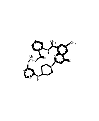 COc1cc(NC2CCN(c3cc(=O)c4cc(C)cc(C(C)Nc5ccccc5C(=O)O)c4o3)CC2)ncn1